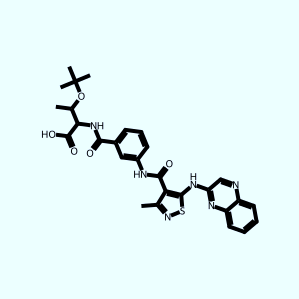 Cc1nsc(Nc2cnc3ccccc3n2)c1C(=O)Nc1cccc(C(=O)NC(C(=O)O)C(C)OC(C)(C)C)c1